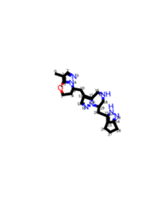 Cc1cnn2c1OCCC2Cc1cnn2c1CNCC2Cc1[nH]nc2c1CCC2